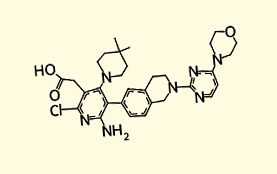 CC1(C)CCN(c2c(CC(=O)O)c(Cl)nc(N)c2-c2ccc3c(c2)CCN(c2nccc(N4CCOCC4)n2)C3)CC1